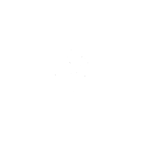 CC(C)C(Nc1ccc(N)cc1CCO)c1n[nH]c(N)c1N.Cl